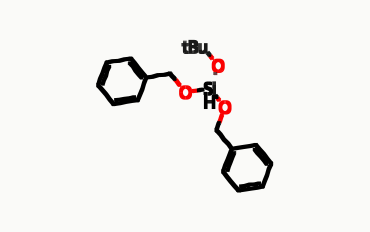 CC(C)(C)O[SiH](OCc1ccccc1)OCc1ccccc1